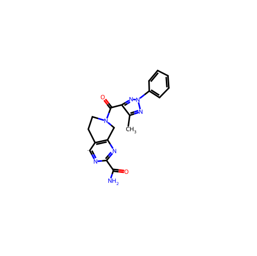 Cc1nn(-c2ccccc2)nc1C(=O)N1CCc2[c]nc(C(N)=O)nc2C1